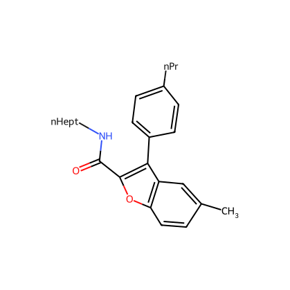 CCCCCCCNC(=O)c1oc2ccc(C)cc2c1-c1ccc(CCC)cc1